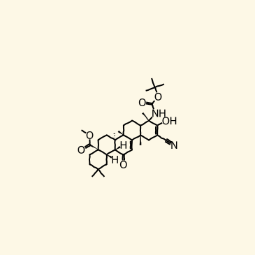 COC(=O)[C@]12CCC(C)(C)C[C@H]1[C@H]1C(=O)C=C3[C@@]4(C)CC(C#N)=C(O)[C@@](C)(NC(=O)OC(C)(C)C)C4CC[C@@]3(C)[C@]1(C)CC2